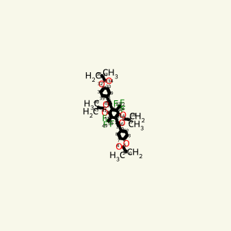 C=C(C)C(=O)Oc1ccc(C#Cc2c(OC(=O)C(=C)C)c(C(F)(F)F)c(C#Cc3ccc(OC(=O)C(=C)C)cc3)c(OC(=O)C(=C)C)c2C(F)(F)F)cc1